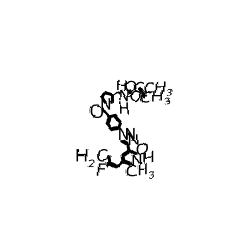 C=C/C(F)=C\c1cc(-c2cn(-c3ccc(C(=O)N4CC[C@@H](CNC(=O)OC(C)(C)C)C4)cc3)nn2)c(=O)[nH]c1C